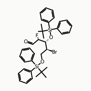 CC(C)(C)[Si](OC[C@H](Br)[C@@H](O[Si](c1ccccc1)(c1ccccc1)C(C)(C)C)[C@@H](F)C=O)(c1ccccc1)c1ccccc1